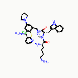 CN(C(=O)[C@@H](N)CCCCN)[C@@H](Cc1c[nH]c2ccccc12)C(=O)NCc1cc(N2CCCC2)cc(Cl)c1Sc1ncccc1CN